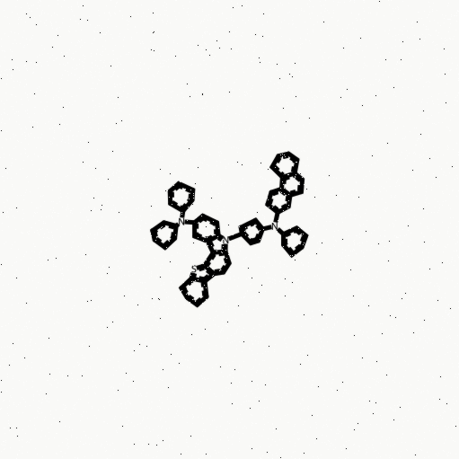 c1ccc(N(c2ccc(-n3c4ccc(N(c5ccccc5)c5ccccc5)cc4c4c5sc6ccccc6c5ccc43)cc2)c2ccc3c(ccc4ccccc43)c2)cc1